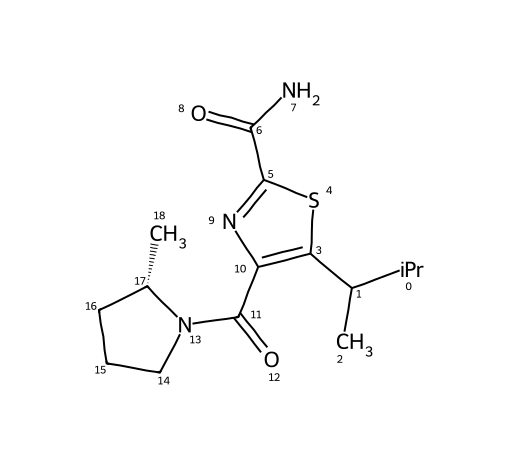 CC(C)C(C)c1sc(C(N)=O)nc1C(=O)N1CCC[C@@H]1C